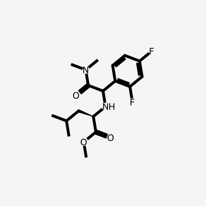 COC(=O)[C@@H](CC(C)C)NC(C(=O)N(C)C)c1ccc(F)cc1F